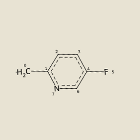 [CH2]c1ccc(F)cn1